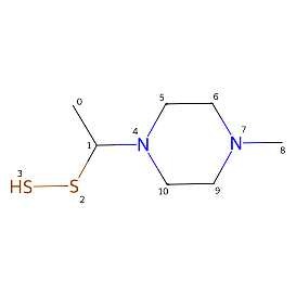 CC(SS)N1CCN(C)CC1